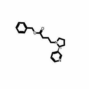 O=C(CCCN1CCC[C@H]1c1cccnc1)OCc1ccccc1